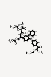 C=CSC(=C)C(=O)c1ccc(-n2c3ccccc3c3cc(/C(CC(C)N(OC(C)=O)C(C)=O)=N/OC(C)=O)ccc32)cc1